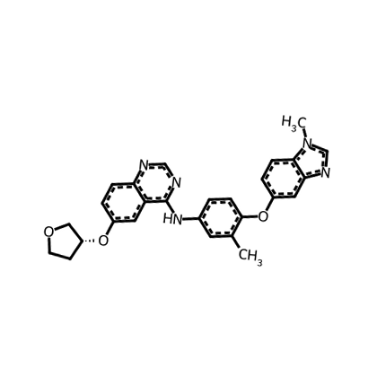 Cc1cc(Nc2ncnc3ccc(O[C@@H]4CCOC4)cc23)ccc1Oc1ccc2c(c1)ncn2C